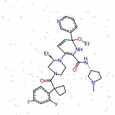 CCOC1(c2cccnc2)C=CC(N2CCN(C(=O)C3(c4ccc(F)cc4F)CCC3)C[C@H]2CC)=C(C(=O)N[C@@H]2CCN(C)C2)N1